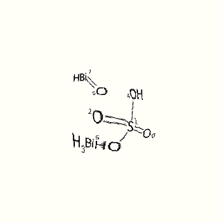 O=S(=O)(O)O.[BiH3].[O]=[BiH]